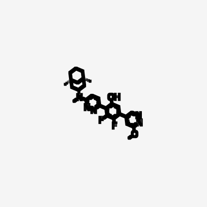 COc1cc(-c2cc(O)c(-c3ccc(N(C)[C@H]4C[C@]5(C)CCC[C@](C)(C4)C5)nn3)c(F)c2F)cnn1